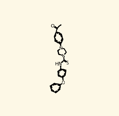 CC(=O)c1ccc(N2CCN(C(=S)Nc3ccc(Oc4ccccc4)cc3)CC2)cc1